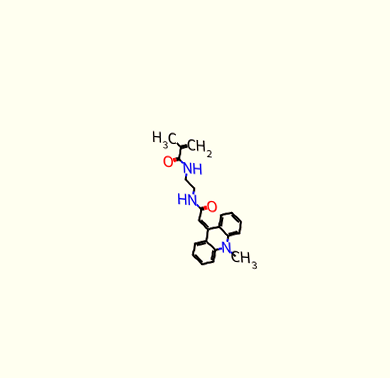 C=C(C)C(=O)NCCNC(=O)C=C1c2ccccc2N(C)c2ccccc21